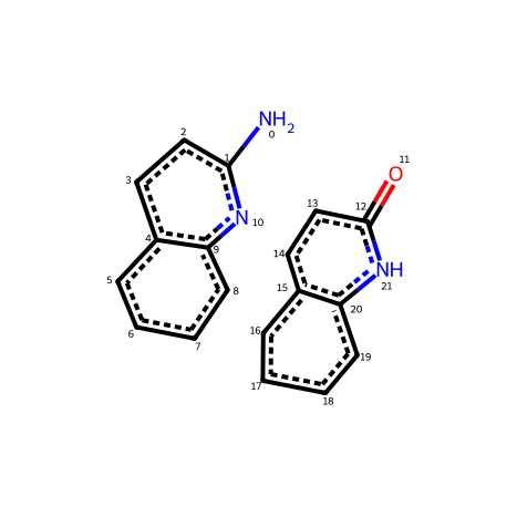 Nc1ccc2ccccc2n1.O=c1ccc2ccccc2[nH]1